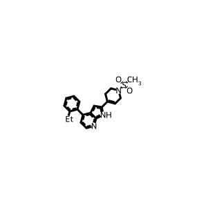 CCc1ccccc1-c1ccnc2[nH]c(C3=CCN(S(C)(=O)=O)CC3)cc12